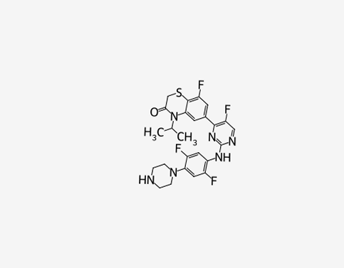 CC(C)N1C(=O)CSc2c(F)cc(-c3nc(Nc4cc(F)c(N5CCNCC5)cc4F)ncc3F)cc21